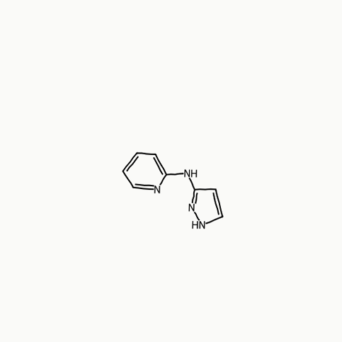 c1ccc(Nc2cc[nH]n2)nc1